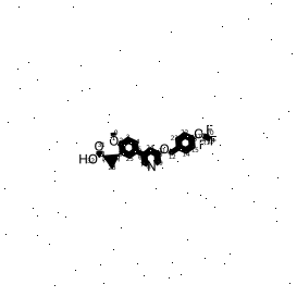 COc1ccc(-c2cncc(OCc3ccc(OC(F)(F)F)cc3)c2)cc1[C@@H]1C[C@H]1C(=O)O